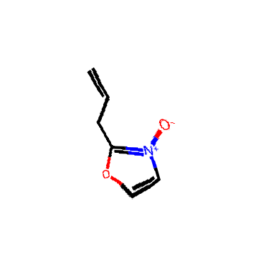 C=CCc1occ[n+]1[O-]